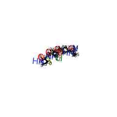 CSc1cc(C)[nH]c(=O)c1CNC(=O)c1cc(Cl)c2c(c1C)OC(C)(C1CCC(C(=O)NC3(C#N)CC3)CC1)O2